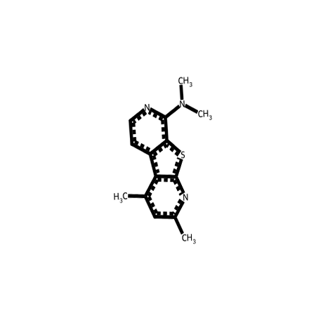 Cc1cc(C)c2c(n1)sc1c(N(C)C)nccc12